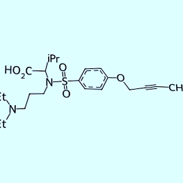 CC#CCOc1ccc(S(=O)(=O)N(CCCN(CC)CC)C(C(=O)O)C(C)C)cc1